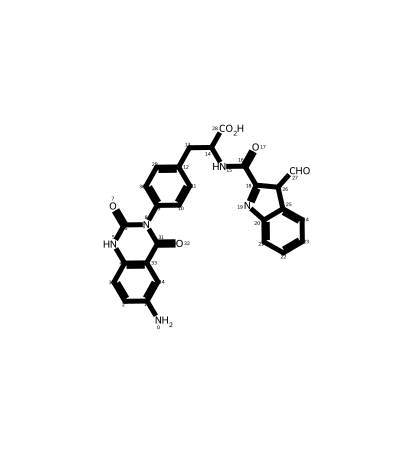 Nc1ccc2[nH]c(=O)n(-c3ccc(CC(NC(=O)C4=Nc5ccccc5C4C=O)C(=O)O)cc3)c(=O)c2c1